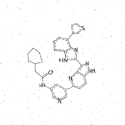 O=C(CC1CCCCC1)Nc1cncc(-c2ccc3[nH]nc(-c4nc5c(-c6ccsc6)cccc5[nH]4)c3n2)c1